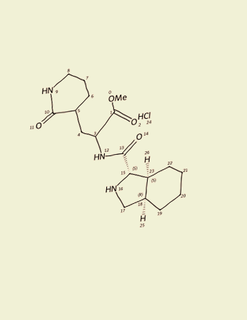 COC(=O)C(CC1CCCNC1=O)NC(=O)[C@H]1NC[C@@H]2CCCC[C@@H]21.Cl